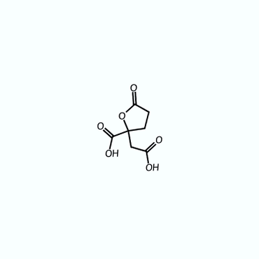 O=C(O)CC1(C(=O)O)CCC(=O)O1